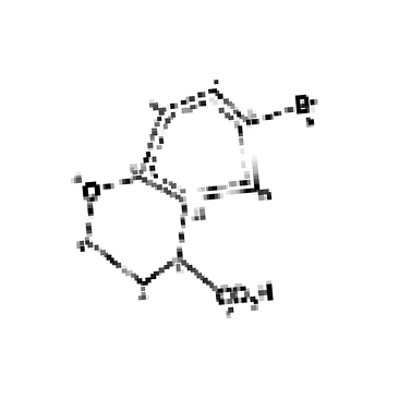 O=C(O)C1CCOc2ccc(Br)cc21